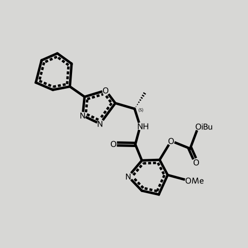 COc1ccnc(C(=O)N[C@@H](C)c2nnc(-c3ccccc3)o2)c1OC(=O)OCC(C)C